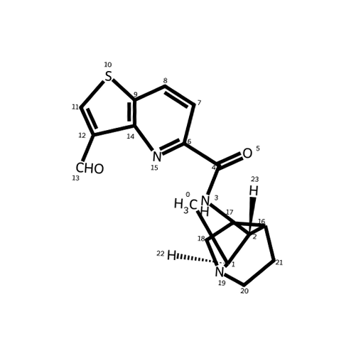 C[C@H]1[C@H](NC(=O)c2ccc3scc(C=O)c3n2)C2CCN1CC2